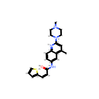 Cc1cc(N2CCN(C)CC2)nc2ccc(NC(=O)/C=C\c3cccs3)cc12